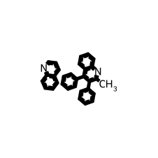 Cc1nc2ccccc2c(-c2ccccc2)c1-c1ccccc1.c1ccc2ncccc2c1